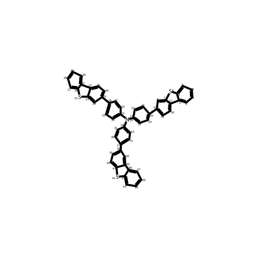 c1ccc2c(c1)sc1cc(-c3ccc(N(c4ccc(-c5ccc6c(c5)sc5ccccc56)cc4)c4ccc(-c5ccc6sc7ccccc7c6c5)cc4)cc3)ccc12